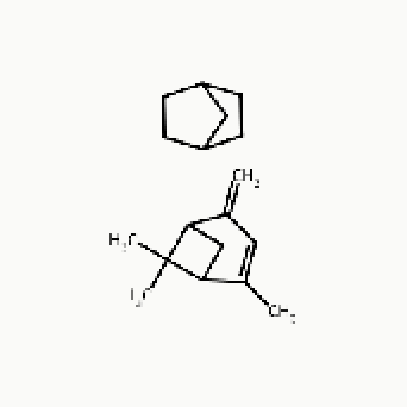 C1CC2CCC1C2.C=C1C=C(C)C2CC1C2(C)C